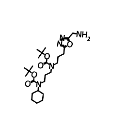 CC(C)(C)OC(=O)N(CCCc1nnc(CN)o1)CCCN(C(=O)OC(C)(C)C)C1CCCCC1